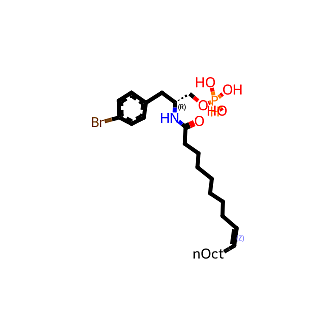 CCCCCCCC/C=C\CCCCCCCC(=O)N[C@@H](CO[PH](O)(O)O)Cc1ccc(Br)cc1